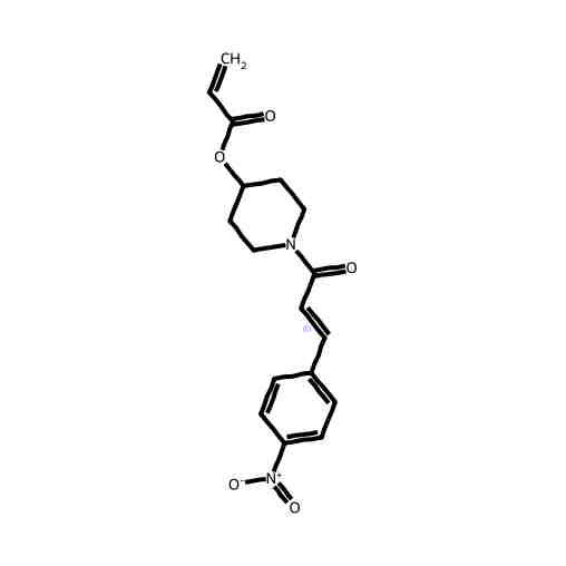 C=CC(=O)OC1CCN(C(=O)/C=C/c2ccc([N+](=O)[O-])cc2)CC1